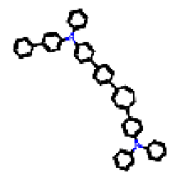 C1=CC(c2ccc(-c3ccc(N(c4ccccc4)c4ccc(-c5ccccc5)cc4)cc3)cc2)=CC=C(c2ccc(N(c3ccccc3)c3ccccc3)cc2)C1